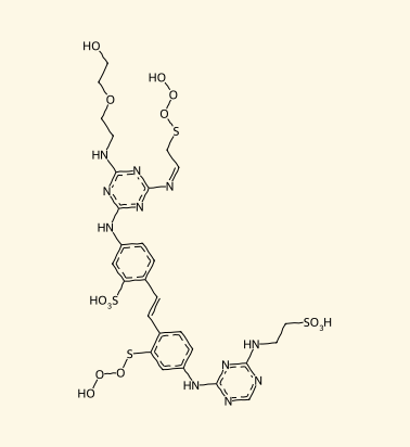 O=S(=O)(O)CCNc1ncnc(Nc2ccc(C=Cc3ccc(Nc4nc(/N=C\CSOOO)nc(NCCOCCO)n4)cc3S(=O)(=O)O)c(SOOO)c2)n1